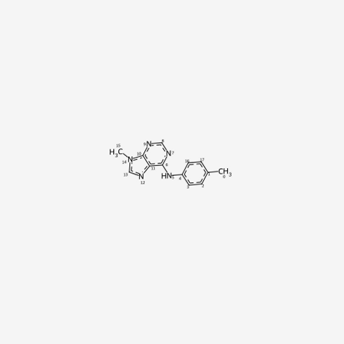 Cc1ccc(Nc2ncnc3c2ncn3C)cc1